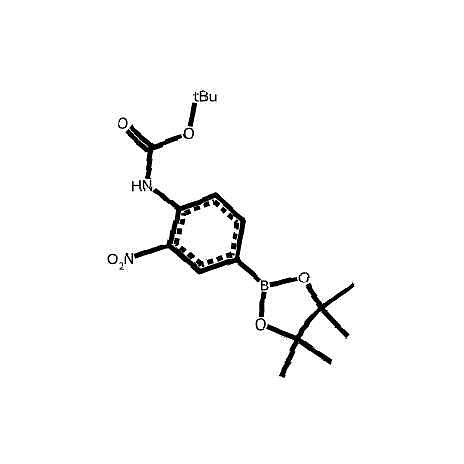 CC(C)(C)OC(=O)Nc1ccc(B2OC(C)(C)C(C)(C)O2)cc1[N+](=O)[O-]